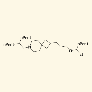 CCCCCC(CCCCC)CN1CCC2(CC1)CC(CCCOC(CC)CCCCC)C2